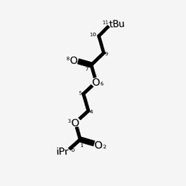 CC(C)C(=O)OCCOC(=O)CCC(C)(C)C